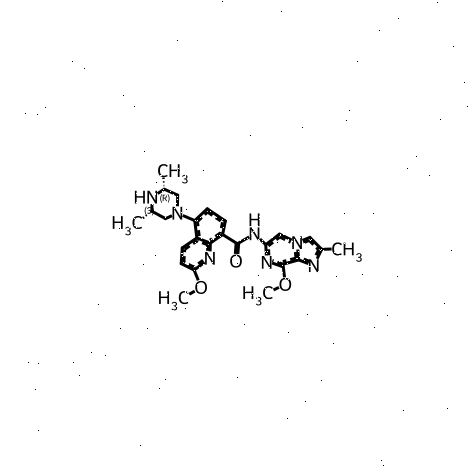 COc1ccc2c(N3C[C@@H](C)N[C@@H](C)C3)ccc(C(=O)Nc3cn4cc(C)nc4c(OC)n3)c2n1